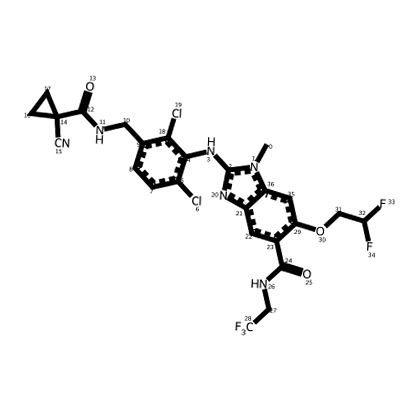 Cn1c(Nc2c(Cl)ccc(CNC(=O)C3(C#N)CC3)c2Cl)nc2cc(C(=O)NCC(F)(F)F)c(OCC(F)F)cc21